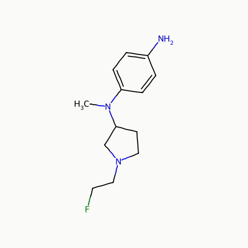 CN(c1ccc(N)cc1)C1CCN(CCF)C1